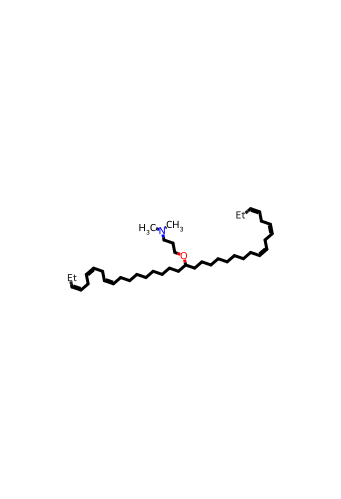 CC/C=C\C/C=C\C/C=C\CCCCCCCCC(CCCCCCCC/C=C\C/C=C\C/C=C\CC)OCCCN(C)C